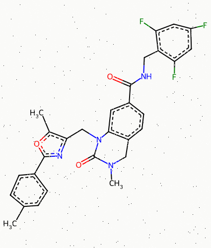 Cc1ccc(-c2nc(CN3C(=O)N(C)Cc4ccc(C(=O)NCc5c(F)cc(F)cc5F)cc43)c(C)o2)cc1